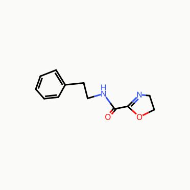 O=C(NCCc1ccccc1)C1=NCCO1